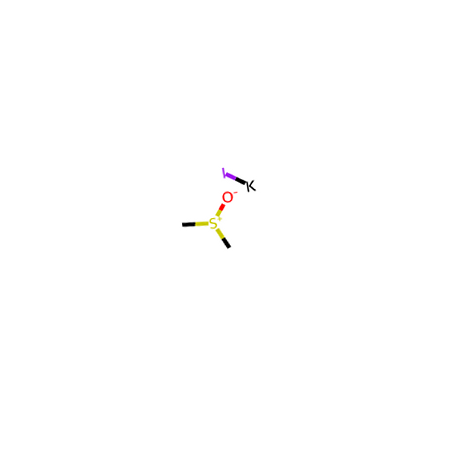 C[S+](C)[O-].[K][I]